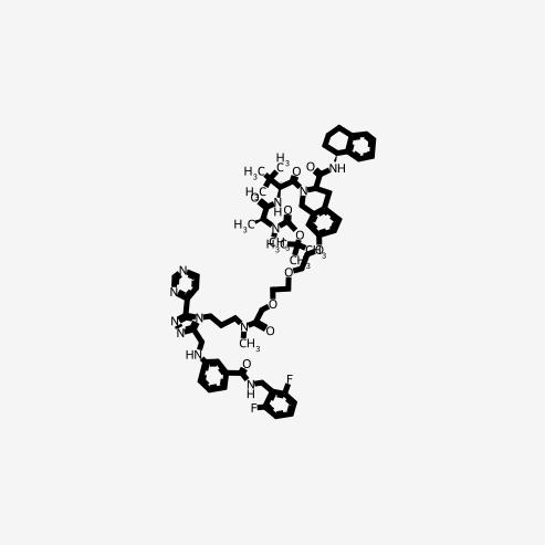 C[C@@H](C(=O)N[C@H](C(=O)N1Cc2cc(OCCOCCOCC(=O)N(C)CCCn3c(CNc4cccc(C(=O)NCc5c(F)cccc5F)c4)nnc3-c3ccncn3)ccc2CC1C(=O)N[C@@H]1CCCc2ccccc21)C(C)(C)C)N(C)C(=O)OC(C)(C)C